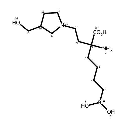 NC(CCCCB(O)O)(CCN1CCC(CO)C1)C(=O)O